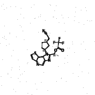 C[C@@H](OC(=O)C(F)(F)F)c1nc2cnc3ccsc3c2n1[C@H]1CC[C@@H](CC#N)C1